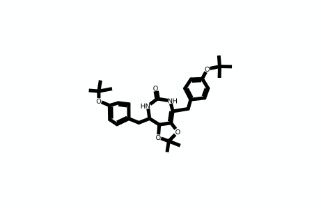 CC(C)(C)Oc1ccc(CC2=C3OC(C)(C)OC3C(Cc3ccc(OC(C)(C)C)cc3)NC(=O)N2)cc1